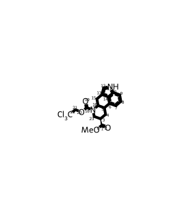 COC(=O)[C@@H]1CC2c3cccc4[nH]cc(c34)CC2N(C(=O)OCC(Cl)(Cl)Cl)C1